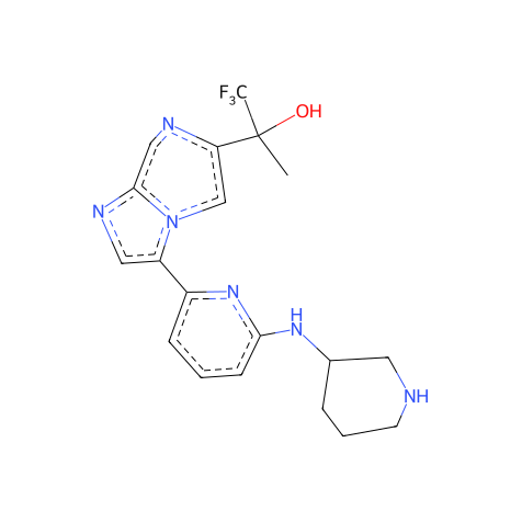 CC(O)(c1cn2c(-c3cccc(NC4CCCNC4)n3)cnc2cn1)C(F)(F)F